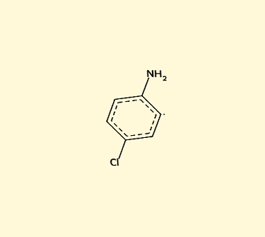 Nc1[c]cc(Cl)cc1